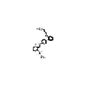 CC(C)(C)OC(=O)NC1CCCNC1CO[C@H]1CC[C@@H](c2ccccc2OCCCC(=O)O)CC1